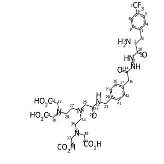 N[C@H](Cc1ccc(C(F)(F)F)cc1)C(=O)NNC(=O)Cc1ccc(CNC(=O)CN(CCN(CC(=O)O)CC(=O)O)CCN(CC(=O)O)CC(=O)O)cc1